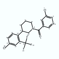 O=C(c1cnnc(Cl)c1)N1CCCC(c2ccc(Cl)cc2C(F)(F)F)C1